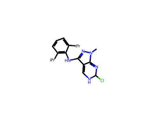 CC(C)c1cccc(C(C)C)c1Nc1nn(C)c2c1=CNC(Cl)N=2